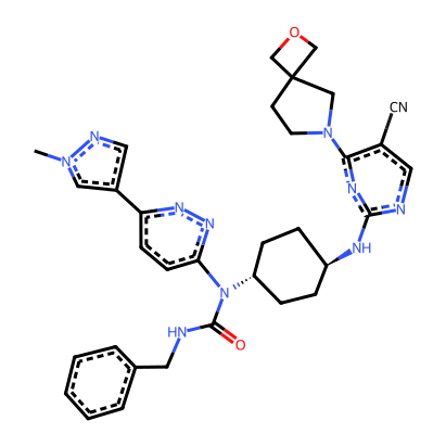 Cn1cc(-c2ccc(N(C(=O)NCc3ccccc3)[C@H]3CC[C@H](Nc4ncc(C#N)c(N5CCC6(COC6)C5)n4)CC3)nn2)cn1